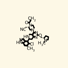 C=CC(=O)N1CCN(c2nc(OC[C@@H]3CCCN3C)nc3c2CNC(c2c(Cl)c(C)cc4[nH]ncc24)C3)C[C@@H]1CC#N